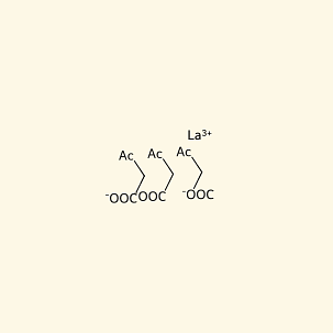 CC(=O)CC(=O)[O-].CC(=O)CC(=O)[O-].CC(=O)CC(=O)[O-].[La+3]